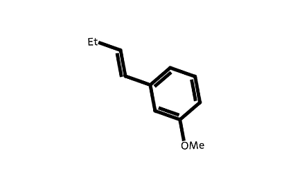 [CH2]CC=Cc1cccc(OC)c1